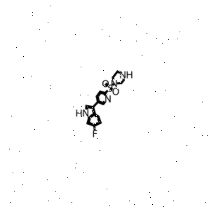 O=S(=O)(c1ccc(-c2c[nH]c3cc(F)ccc23)cn1)N1CCNCC1